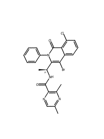 Cc1cnc(C(=O)N[C@@H](C)c2c(Br)c3cccc(Cl)c3c(=O)n2-c2ccccc2)c(C)n1